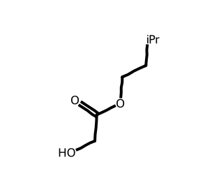 CC(C)CCOC(=O)CO